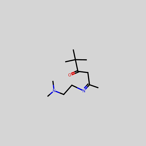 CC(CC(=O)C(C)(C)C)=NCCN(C)C